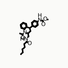 CCCCCC(=O)NCC1CC(c2ccc(NC(=O)OC)cc2)c2ccccc2N1C(C)=O